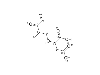 C=CC(=O)C(C)COC(CC(=O)O)C(=O)O